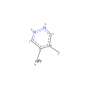 CCCc1cnncc1C